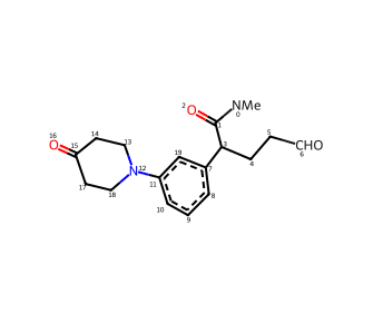 CNC(=O)C(CCC=O)c1cccc(N2CCC(=O)CC2)c1